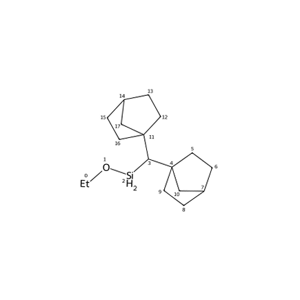 [CH2]CO[SiH2]C(C12CCC(CC1)C2)C12CCC(CC1)C2